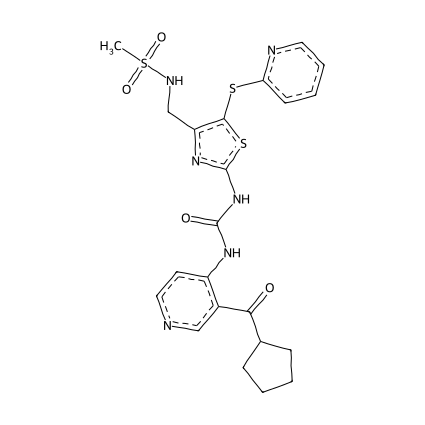 CS(=O)(=O)NCc1nc(NC(=O)Nc2ccncc2C(=O)C2CCCC2)sc1Sc1ccccn1